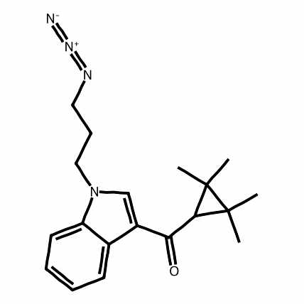 CC1(C)C(C(=O)c2cn(CCCN=[N+]=[N-])c3ccccc23)C1(C)C